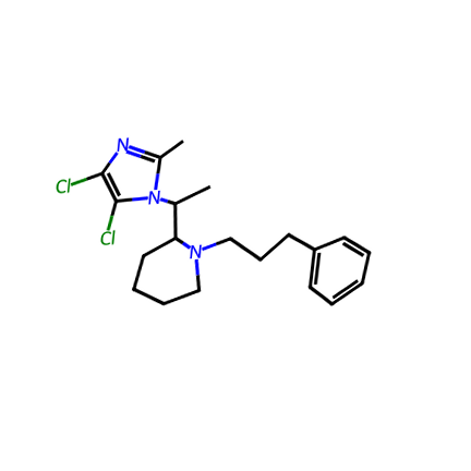 Cc1nc(Cl)c(Cl)n1C(C)C1CCCCN1CCCc1ccccc1